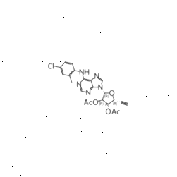 C#C[C@H]1O[C@@H](n2cnc3c(Nc4ccc(Cl)cc4C)ncnc32)[C@H](OC(C)=O)[C@H]1OC(C)=O